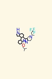 CC(C)COc1cccc2c3c4cc[nH]c4ccc3c3c4c(nn3c12)CCN(C(C)CC(F)(F)F)C4